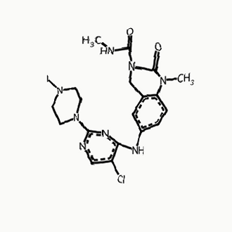 CNC(=O)N1Cc2cc(Nc3nc(N4CCN(I)CC4)ncc3Cl)ccc2N(C)C1=O